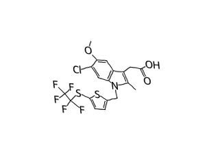 COc1cc2c(CC(=O)O)c(C)n(Cc3ccc(SC(F)(F)C(F)(F)F)s3)c2cc1Cl